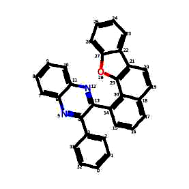 c1ccc(-c2nc3ccccc3nc2-c2cccc3ccc4c5ccccc5oc4c23)cc1